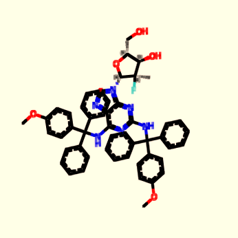 COc1ccc(C(Nc2nc(NC(c3ccccc3)(c3ccccc3)c3ccc(OC)cc3)c3ncn([C@@H]4O[C@H](CO)[C@@H](O)[C@@]4(C)F)c3n2)(c2ccccc2)c2ccccc2)cc1